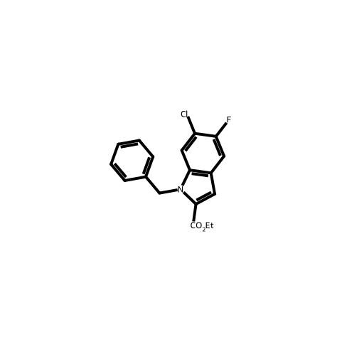 CCOC(=O)c1cc2cc(F)c(Cl)cc2n1Cc1ccccc1